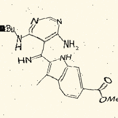 COC(=O)c1ccc2c(C)c(C(=N)c3c(N)ncnc3NC(C)(C)C)[nH]c2c1